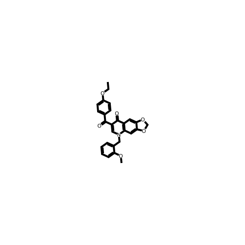 CCOc1ccc(C(=O)c2cn(Cc3ccccc3OC)c3cc4c(cc3c2=O)OCO4)cc1